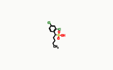 CCCCC(c1ccc(Cl)cc1Cl)S(=O)(=O)O